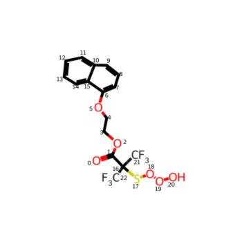 O=C(OCCOc1cccc2ccccc12)C(SOOO)(C(F)(F)F)C(F)(F)F